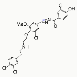 COc1cc(/C=N/NC(=O)c2ccc(O)c(Cl)c2)cc(Cl)c1OCCNCCc1ccc(Cl)c(Cl)c1